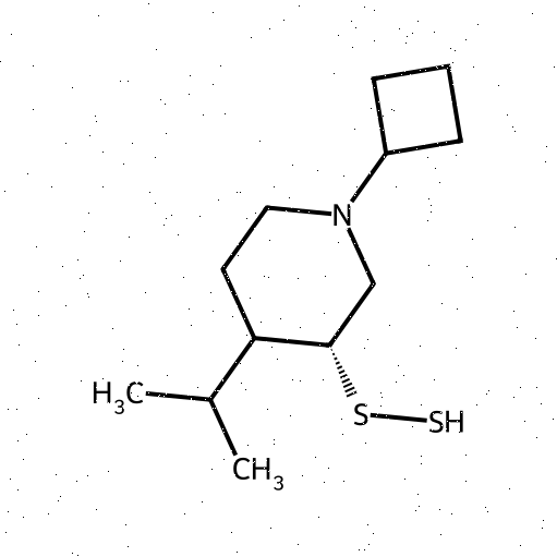 CC(C)C1CCN(C2CCC2)C[C@@H]1SS